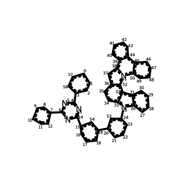 c1ccc(-c2nc(-c3ccccc3)nc(-c3cccc(-c4cccc(-n5c6ccccc6c6c5ccc5cc7c8ccccc8c8ccccc8n7c56)c4)c3)n2)cc1